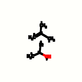 C=C(C)C.CCC(C)O